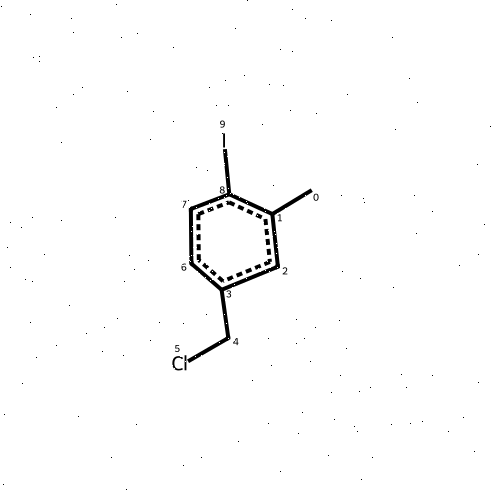 Cc1cc(CCl)ccc1I